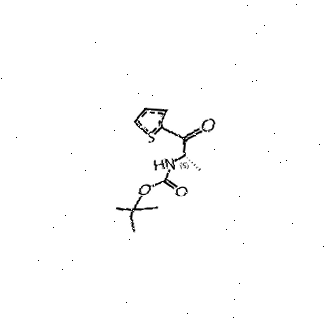 C[C@H](NC(=O)OC(C)(C)C)C(=O)c1cccs1